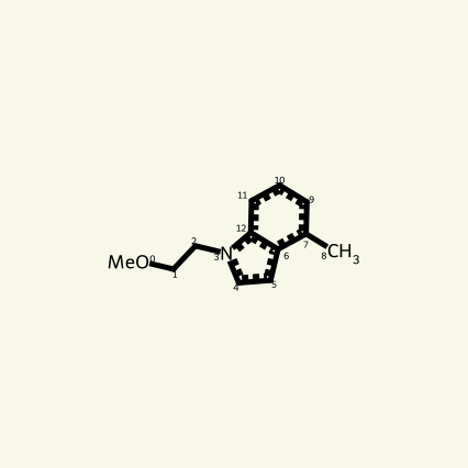 COCCn1ccc2c(C)cccc21